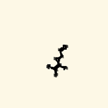 O=CCOC(F)=C(F)F